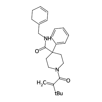 C=C(C(=O)N1CCC(C(=O)NCC2=CC=CCC2)(c2ccccc2)CC1)C(C)(C)C